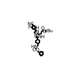 CC(C)(C)OC(=O)CCC(NC(=O)C1CCC(CNC(=O)OCc2ccccc2)CC1)c1ncc(-c2ccc(C#N)c(F)c2)[nH]1